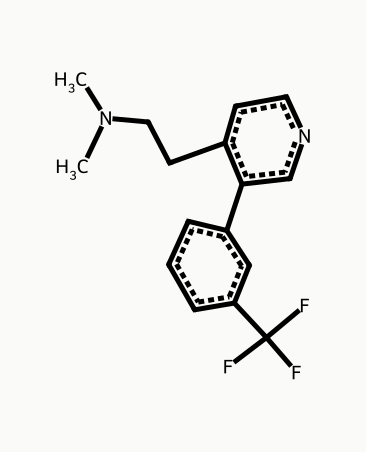 CN(C)CCc1ccncc1-c1cccc(C(F)(F)F)c1